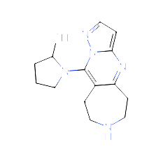 CC1CCCN1c1c2c(nc3ccnn13)CCNCC2